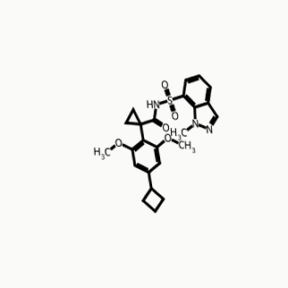 COc1cc(C2CCC2)cc(OC)c1C1(C(=O)NS(=O)(=O)c2cccc3cnn(C)c23)CC1